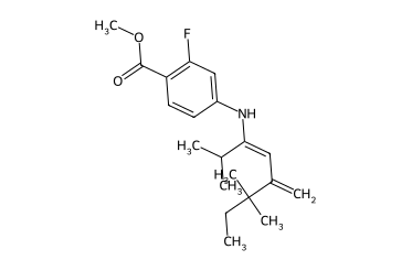 C=C(/C=C(/Nc1ccc(C(=O)OC)c(F)c1)C(C)C)C(C)(C)CC